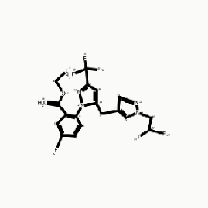 C=C(OCC)c1cc(F)ccc1-n1nc(C(F)(F)F)cc1Cc1cnn(CC(F)F)c1